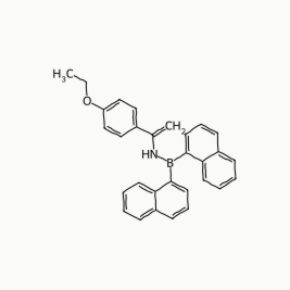 C=C(NB(c1cccc2ccccc12)c1cccc2ccccc12)c1ccc(OCC)cc1